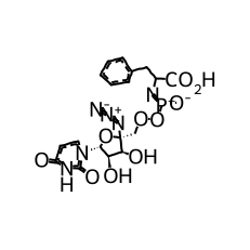 [N-]=[N+]=N[C@]1(COO/[P+]([O-])=N/C(Cc2ccccc2)C(=O)O)O[C@@H](n2ccc(=O)[nH]c2=O)[C@H](O)[C@@H]1O